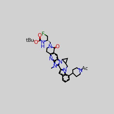 CC(=O)N1CCC(c2cccc3cc(-c4nc5cc6c(nc5n4C)CCN(C[C@@H](CF)NC(=O)OC(C)(C)C)C6=O)n(CC4CC4)c23)CC1